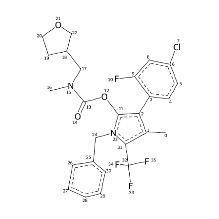 Cc1c(-c2ccc(Cl)cc2F)c(OC(=O)N(C)CC2CCOC2)n(Cc2ccccc2)c1C(F)(F)F